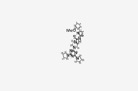 COc1ccccc1-c1csc(NC(=S)N2CCN(c3nc(N4CCCC4)nc(N4CCCC4)n3)CC2)n1